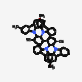 Cc1ccc2c(c1)c1ccccc1n2-c1c(C#N)ccc(-c2ccc(C#N)c(-n3c4ccccc4c4cc(C)ccc43)c2-n2c3ccccc3c3cc(C)ccc32)c1-n1c2ccccc2c2cc(C)ccc21